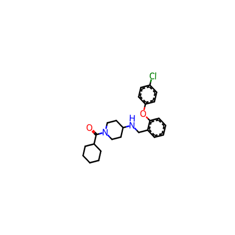 O=C(C1CCCCC1)N1CCC(NCc2ccccc2Oc2ccc(Cl)cc2)CC1